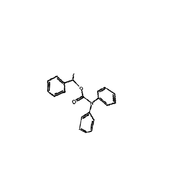 CC(OC(=O)N(c1ccccc1)c1ccccc1)c1ccccc1